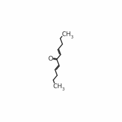 CCCC=CC(=O)C=CCCC